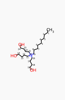 CCCCCCCCCC[N+](CCCCO)(CCCCO)CCCCO